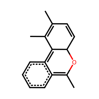 CC1=C(C)C2=c3ccccc3=C(C)OC2C=C1